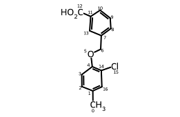 Cc1ccc(OCc2cccc(C(=O)O)c2)c(Cl)c1